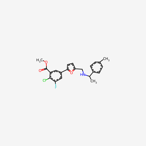 COC(=O)c1cc(-c2ccc(CNC(C)c3ccc(C)cc3)o2)cc(F)c1Cl